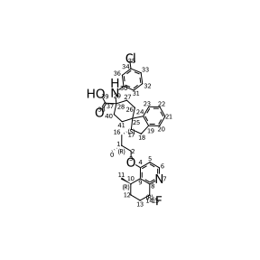 C[C@@H](COc1ccnc2c1[C@H](C)CC[C@H]2F)C[C@H]1Cc2ccccc2C12CCC(Nc1cccc(Cl)c1)(C(=O)O)CC2